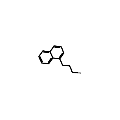 BrCCCc1cccc2ccccc12